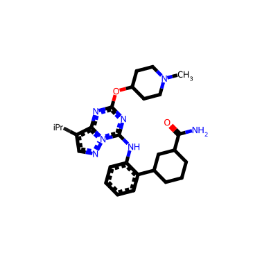 CC(C)c1cnn2c(Nc3ccccc3C3CCCC(C(N)=O)C3)nc(OC3CCN(C)CC3)nc12